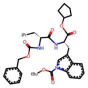 CC(C)C[C@@H](NC(=O)OCc1ccccc1)C(=O)N[C@@H](Cc1cn(C(=O)OC(C)(C)C)c2ccccc12)C(=O)OC1CCCC1